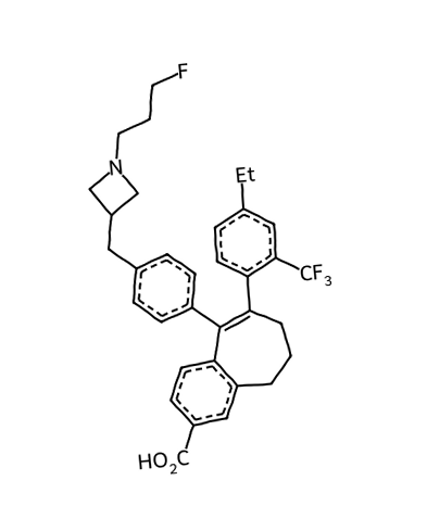 CCc1ccc(C2=C(c3ccc(CC4CN(CCCF)C4)cc3)c3ccc(C(=O)O)cc3CCC2)c(C(F)(F)F)c1